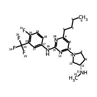 CCCCc1cc(N2CC[C@H](NC)C2)nc(Nc2ccc(F)c(C(F)(F)F)c2)n1